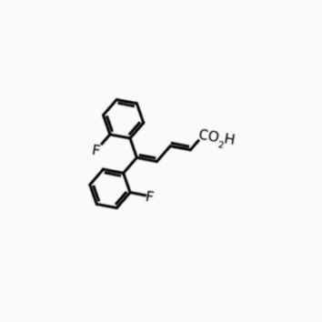 O=C(O)C=CC=C(c1ccccc1F)c1ccccc1F